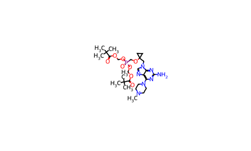 CN1CCN(c2nc(N)nc3c2ncn3CC2(OCP(=O)(OCOC(=O)C(C)(C)C)OCOC(=O)C(C)(C)C)CC2)CC1